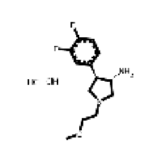 COCCN1C[C@@H](N)[C@H](c2ccc(F)c(F)c2)C1.Cl.Cl